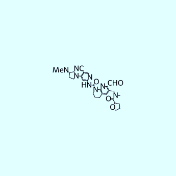 CNC1CCN(c2cc(NC(=O)N3CCCc4cc(CN(C)C(=O)C5CCCO5)c(C=O)nc43)ncc2C#N)C1